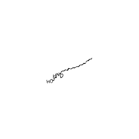 CCC=CCC=CCC=CCC=CCC=CCCCC(=O)NCCCO